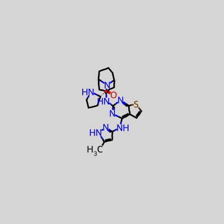 Cc1cc(Nc2nc(NC3CC4CCCC(C3)N4C(=O)[C@@H]3CCCN3)nc3sccc23)n[nH]1